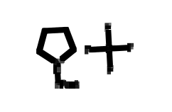 CCCCC[NH+]1CCCC1.F[B-](F)(F)F